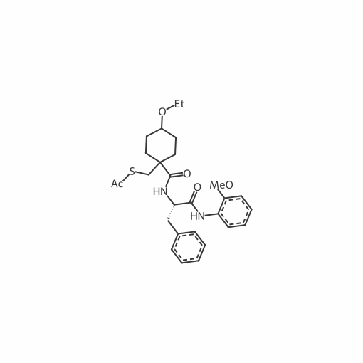 CCOC1CCC(CSC(C)=O)(C(=O)N[C@@H](Cc2ccccc2)C(=O)Nc2ccccc2OC)CC1